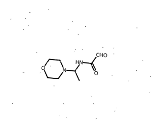 CC(NC(=O)[C]=O)N1CCOCC1